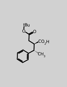 C[C@H](c1ccccc1)[C@@H](CC(=O)OC(C)(C)C)C(=O)O